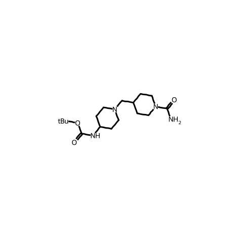 CC(C)(C)OC(=O)NC1CCN(CC2CCN(C(N)=O)CC2)CC1